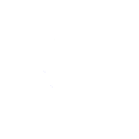 O=C(c1ncccc1-c1ccc(F)cc1Cl)c1ncccc1-c1ccc(F)cc1Cl